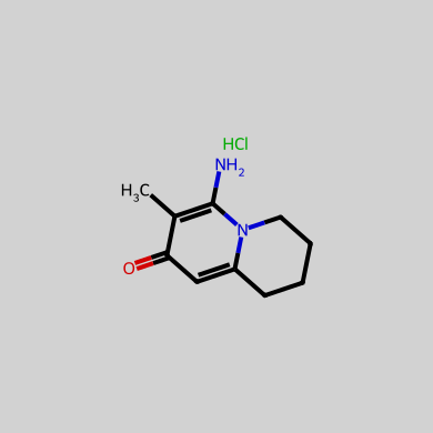 Cc1c(N)n2c(cc1=O)CCCC2.Cl